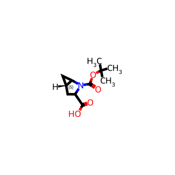 CC(C)(C)OC(=O)N1C(C(=O)O)C[C@@H]2CC21